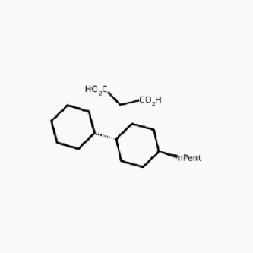 CCCCC[C@H]1CC[C@H](C2CCCCC2)CC1.O=C(O)CC(=O)O